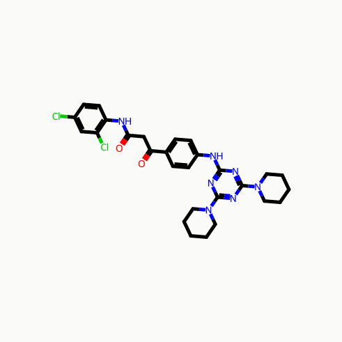 O=C(CC(=O)c1ccc(Nc2nc(N3CCCCC3)nc(N3CCCCC3)n2)cc1)Nc1ccc(Cl)cc1Cl